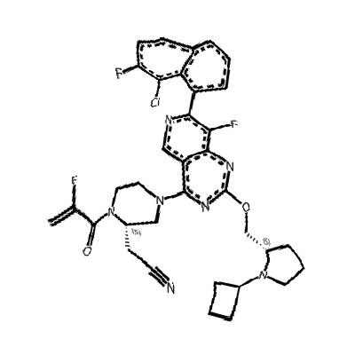 C=C(F)C(=O)N1CCN(c2nc(OC[C@@H]3CCCN3C3CCC3)nc3c(F)c(-c4cccc5ccc(F)c(Cl)c45)ncc23)C[C@@H]1CC#N